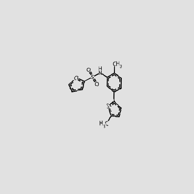 Cc1ccc(-c2ccc(C)c(NS(=O)(=O)c3ccco3)c2)s1